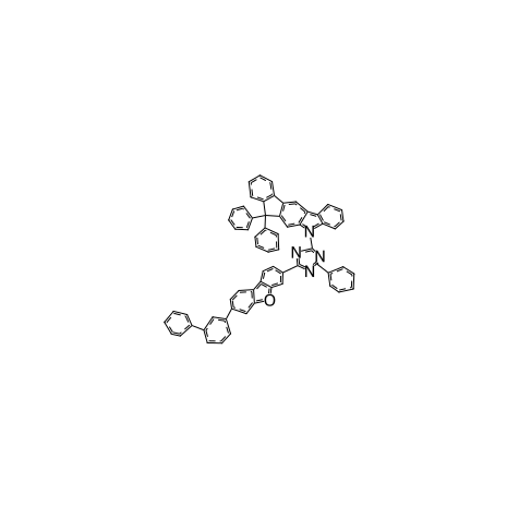 c1ccc(-c2cccc(-c3ccc4c(c3)oc3cc(-c5nc(-c6ccccc6)nc(-n6c7ccccc7c7cc8c(cc76)C(c6ccccc6)(c6ccccc6)c6ccccc6-8)n5)ccc34)c2)cc1